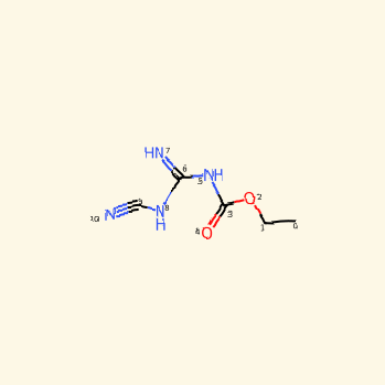 CCOC(=O)NC(=N)NC#N